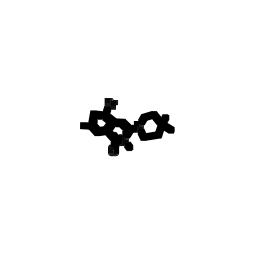 Cc1cc(Br)c2cc(N3CCC(C)(C)CC3)n(C)c(=O)c2c1